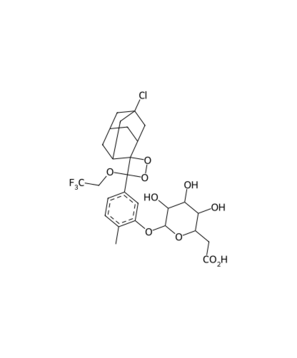 Cc1ccc(C2(OCC(F)(F)F)OOC23C2CC4CC3CC(Cl)(C4)C2)cc1OC1OC(CC(=O)O)C(O)C(O)C1O